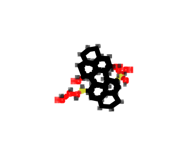 O=S(=O)(O)c1cc2c3c(cc(SOOO)c4c5c(O)cc6c7c(cc(O)c(c1c34)c75)CCC6)CCC2